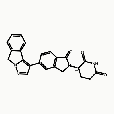 O=C1CC[C@@H](N2Cc3cc(-c4cnn5c4-c4ccccc4C5)ccc3C2=O)C(=O)N1